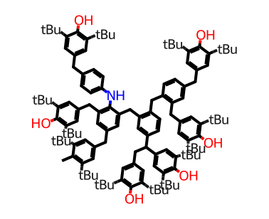 Cc1c(C(C)(C)C)cc(Cc2cc(Cc3cc(C(C)(C)C)c(O)c(C(C)(C)C)c3)c(Nc3ccc(Cc4cc(C(C)(C)C)c(O)c(C(C)(C)C)c4)cc3)c(Cc3cc(C(Cc4cc(C(C)(C)C)c(O)c(C(C)(C)C)c4)c4cc(C(C)(C)C)c(O)c(C(C)(C)C)c4)ccc3Cc3ccc(Cc4cc(C(C)(C)C)c(O)c(C(C)(C)C)c4)cc3Cc3cc(C(C)(C)C)c(O)c(C(C)(C)C)c3)c2)cc1C(C)(C)C